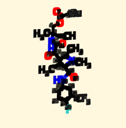 C#CC(C)(COC(=O)C(C)(C)C)NC(=O)C(=O)c1c(C)c(C(=O)Nc2ccc(F)c(C(F)(F)F)c2)n(C)c1C